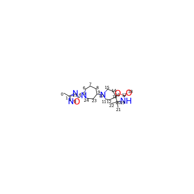 Cc1noc(N2CCCC(N3CCC4(CC3)OC(=O)NC4(C)C)CC2)n1